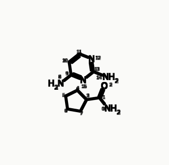 NC(=O)C1CCCC1.Nc1ccnc(N)n1